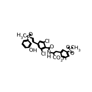 CP(=O)(/C=C/c1cc(Cl)c(C(=O)NC(Cc2cccc(S(C)(=O)=O)c2)C(=O)O)c(Cl)c1)c1cccc(O)c1